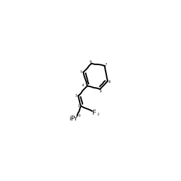 CC(C)/C(F)=C/C1=CCCC=C1